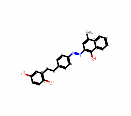 CC(=O)Nc1cc(N=Nc2ccc(CCc3cc(O)ccc3O)cc2)c(O)c2ccccc12